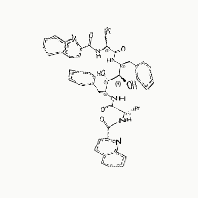 CC(C)[C@H](NC(=O)c1ccc2ccccc2n1)C(=O)N[C@@H](Cc1ccccc1)[C@H](O)[C@H](O)[C@H](Cc1ccccc1)NC(=O)[C@@H](NC(=O)c1ccc2ccccc2n1)C(C)C